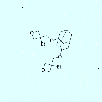 CCC1(COC23CC4CC(C2)CC(OCC2(CC)COC2)(C4)C3)COC1